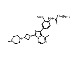 CCC[C@H](C)OC(=O)Nc1ccc(-c2nc(N3CC(N4CCN(C)CC4)C3)n3ccnc(C)c23)cc1OC